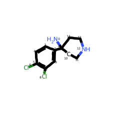 NC1(c2ccc(Cl)c(Cl)c2)CCNCC1